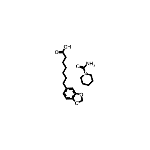 NC(=O)N1CCCCC1.O=C(O)CCCCCCc1ccc2c(c1)OCO2